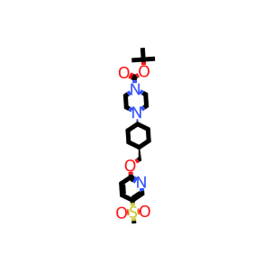 CC(C)(C)OC(=O)N1CCN([C@H]2CC[C@H](COc3ccc(S(C)(=O)=O)cn3)CC2)CC1